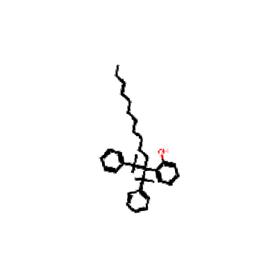 CCCCCCCCCCCC(c1ccccc1O)(C(C)(C)c1ccccc1)C(C)(C)c1ccccc1